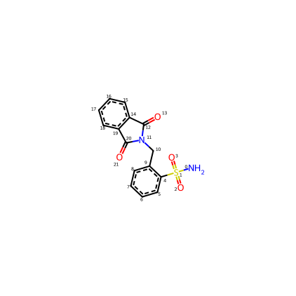 NS(=O)(=O)c1ccccc1CN1C(=O)c2ccccc2C1=O